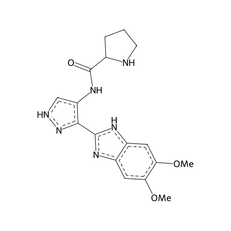 COc1cc2nc(-c3n[nH]cc3NC(=O)C3CCCN3)[nH]c2cc1OC